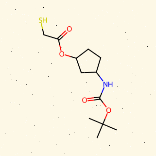 CC(C)(C)OC(=O)NC1CCC(OC(=O)CS)C1